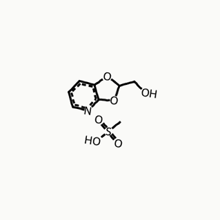 CS(=O)(=O)O.OCC1Oc2cccnc2O1